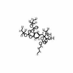 CCCCOC(=O)O[C@](Cc1ccc(OC(=O)OC(C)(C)CC)c(OC(=O)OC(C)(C)CC)c1)(NC(C)C)C(=O)O